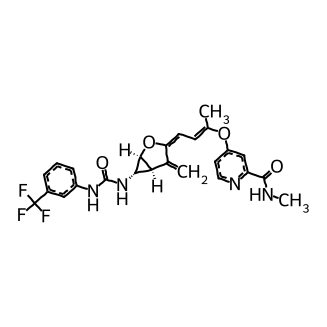 C=C1/C(=C\C=C(/C)Oc2ccnc(C(=O)NC)c2)O[C@@H]2[C@@H](NC(=O)Nc3cccc(C(F)(F)F)c3)[C@H]12